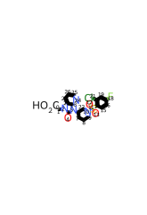 O=C(O)Cn1c(=O)n(C2CCCN(S(=O)(=O)c3ccc(F)cc3Cl)C2)c2ncccc21